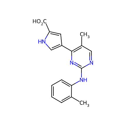 Cc1ccccc1Nc1ncc(C)c(-c2c[nH]c(C(=O)O)c2)n1